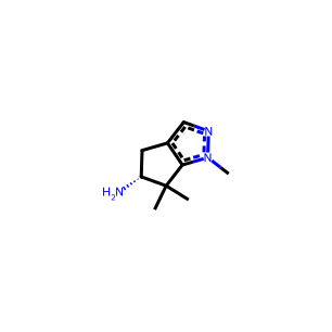 Cn1ncc2c1C(C)(C)[C@H](N)C2